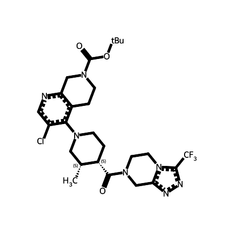 C[C@@H]1CN(c2c(Cl)cnc3c2CCN(C(=O)OC(C)(C)C)C3)CC[C@@H]1C(=O)N1CCn2c(nnc2C(F)(F)F)C1